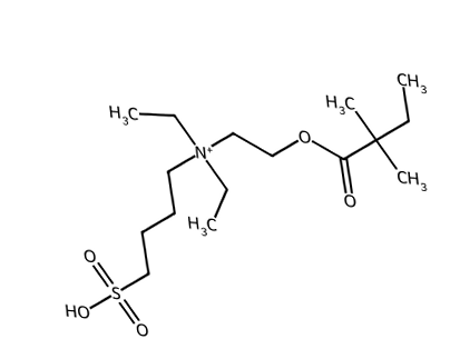 CCC(C)(C)C(=O)OCC[N+](CC)(CC)CCCCS(=O)(=O)O